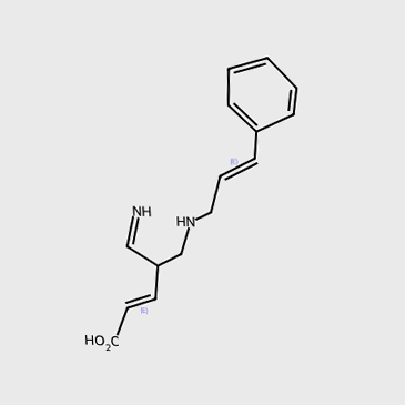 N=CC(/C=C/C(=O)O)CNC/C=C/c1ccccc1